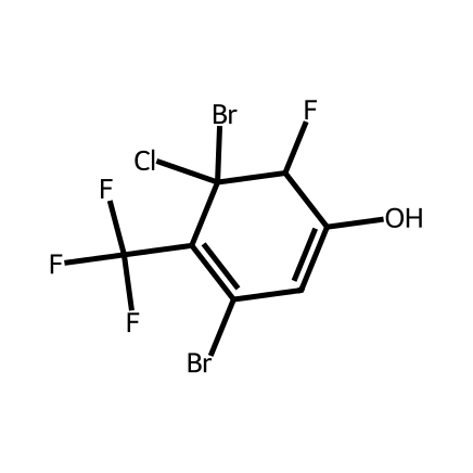 OC1=CC(Br)=C(C(F)(F)F)C(Cl)(Br)C1F